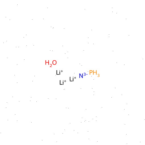 O.P.[Li+].[Li+].[Li+].[N-3]